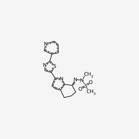 CN(/N=C1\CCCc2ccc(-c3cnc(-c4cccnc4)s3)nc21)S(C)(=O)=O